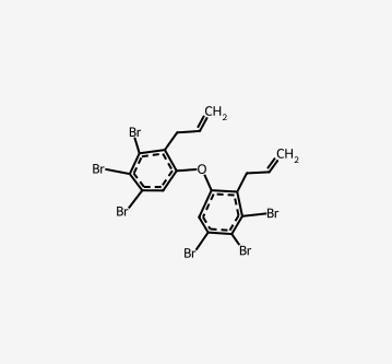 C=CCc1c(Oc2cc(Br)c(Br)c(Br)c2CC=C)cc(Br)c(Br)c1Br